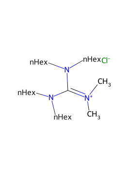 CCCCCCN(CCCCCC)C(N(CCCCCC)CCCCCC)=[N+](C)C.[Cl-]